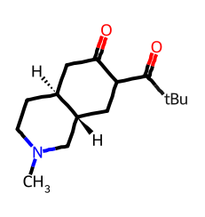 CN1CC[C@H]2CC(=O)C(C(=O)C(C)(C)C)C[C@@H]2C1